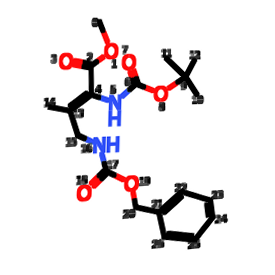 COC(=O)C(NC(=O)OC(C)(C)C)=C(C)CNC(=O)OCc1ccccc1